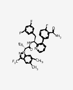 CC[C@H](C(=O)N[C@@H](Cc1cc(F)cc(F)c1)c1ncccc1-c1ccc(F)c(C(N)=O)c1)n1nc(C(F)(F)F)c2cc(C)c(C)cc21